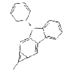 CC1=C2C=c3c(c4ccccc4n3[C@@H]3C=CC=CC3)=CC12